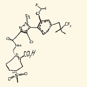 CCn1nc(C(=O)NC[C@H]2CC[C@@H](S(C)(=O)=O)CN2C(=O)O)c(Cl)c1-c1ccc(CC(C)(C)C(F)(F)F)cc1OC(F)F